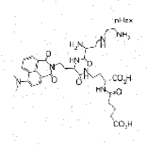 CCCCCC[C@H](N)CNCC[C@H](N)C(=O)N[C@H](CCN1C(=O)c2cccc3c(N(C)C)ccc(c23)C1=O)C(=O)NCC[C@@H](NC(=O)CCCC(=O)O)C(=O)O